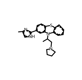 Cc1c[nH]c(-c2ccc3c(c2)N(C(C)CN2CCCC2)c2ccccc2S3)n1